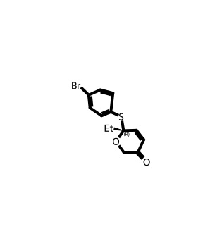 CC[C@@]1(Sc2ccc(Br)cc2)C=CC(=O)CO1